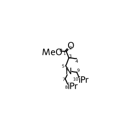 COC(=O)C(C)CN(CC(C)C)CC(C)C